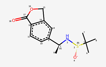 C[C@H](N[S@@+]([O-])C(C)(C)C)c1ccc2c(c1)COC2=O